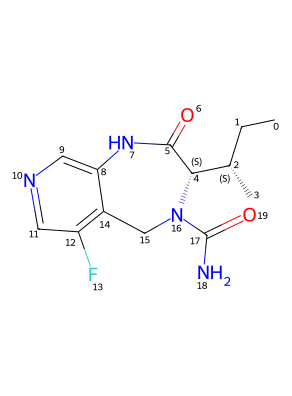 CC[C@H](C)[C@H]1C(=O)Nc2cncc(F)c2CN1C(N)=O